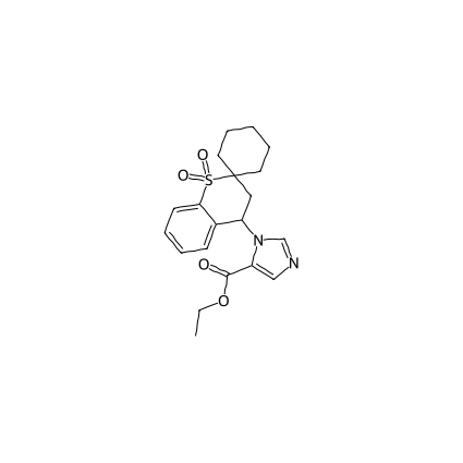 CCOC(=O)c1cncn1C1CC2(CCCCC2)S(=O)(=O)c2ccccc21